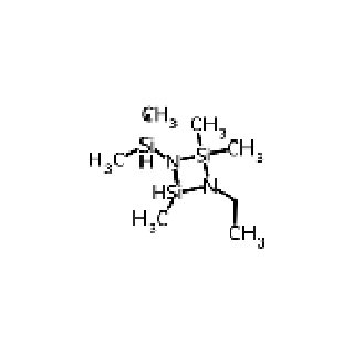 CCN1[SiH](C)N([SiH](C)C)[Si]1(C)C